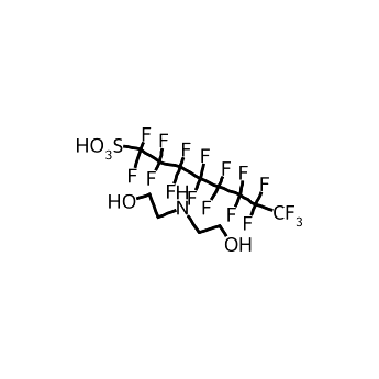 O=S(=O)(O)C(F)(F)C(F)(F)C(F)(F)C(F)(F)C(F)(F)C(F)(F)C(F)(F)C(F)(F)F.OCCNCCO